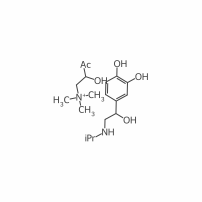 CC(=O)C(O)C[N+](C)(C)C.CC(C)NCC(O)c1ccc(O)c(O)c1